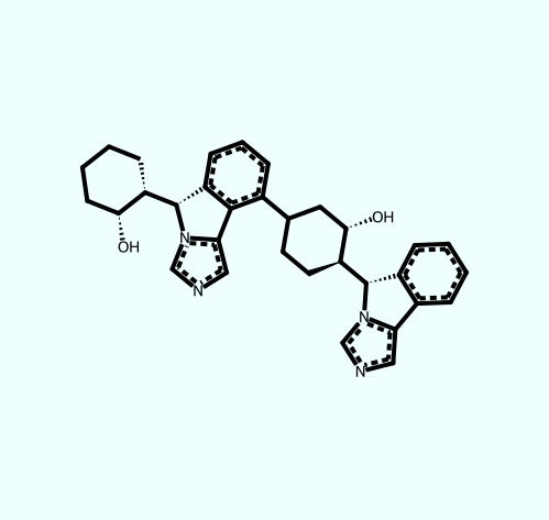 O[C@@H]1CCCC[C@@H]1[C@@H]1c2cccc(C3CC[C@H]([C@@H]4c5ccccc5-c5cncn54)[C@@H](O)C3)c2-c2cncn21